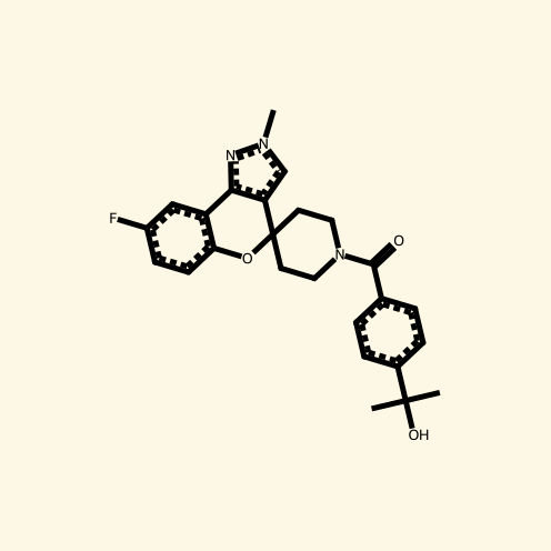 Cn1cc2c(n1)-c1cc(F)ccc1OC21CCN(C(=O)c2ccc(C(C)(C)O)cc2)CC1